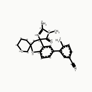 Cc1ccc(C#N)cc1-c1ccc2c(c1)C1(CC3(CCCOC3)O2)N=C(N)N(C)C1=O